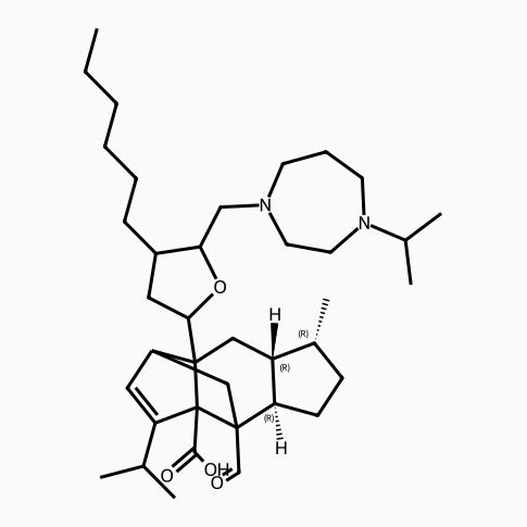 CCCCCCC1CC(C23C[C@@H]4[C@H](C)CC[C@H]4C4(C=O)CC2C=C(C(C)C)C34C(=O)O)OC1CN1CCCN(C(C)C)CC1